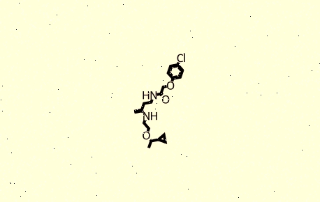 C=C(CCNC(=O)COc1ccc(Cl)cc1)NCCOC(C)C1CC1